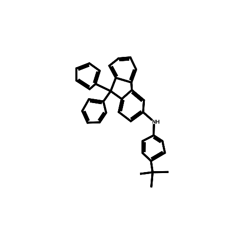 CC(C)(C)c1ccc(Nc2ccc3c(c2)-c2ccccc2C3(c2ccccc2)c2ccccc2)cc1